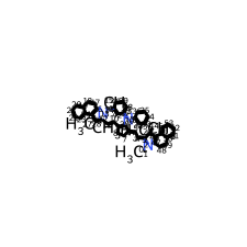 CCN1/C(=C/C=C2\CCC(/C=C/C3=[N+](CC)c4ccc5ccccc5c4C3(C)C)=C2N(c2ccccc2)c2ccccc2)C(C)(C)c2c1ccc1ccccc21